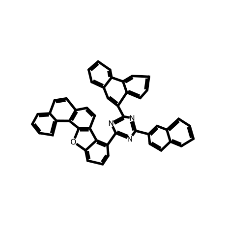 c1ccc2cc(-c3nc(-c4cc5ccccc5c5ccccc45)nc(-c4cccc5oc6c(ccc7ccc8ccccc8c76)c45)n3)ccc2c1